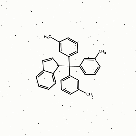 Cc1cccc(C(c2cccc(C)c2)(c2cccc(C)c2)C2C=Cc3ccccc32)c1